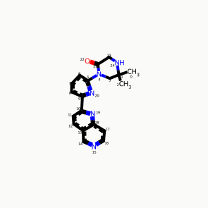 CC1(C)CN(c2cccc(-c3ccc4cnccc4n3)n2)C(=O)CN1